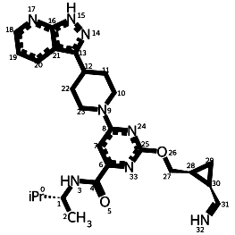 CC(C)[C@@H](C)NC(=O)c1cc(N2CCC(c3n[nH]c4ncccc34)CC2)nc(OC[C@H]2C[C@H]2C=N)n1